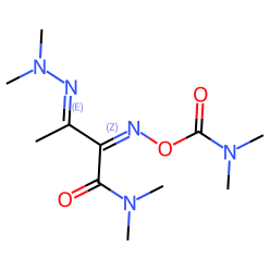 CC(=N\N(C)C)/C(=N/OC(=O)N(C)C)C(=O)N(C)C